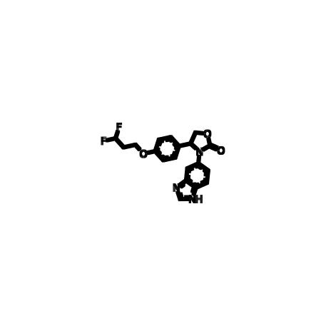 O=C1OCC(c2ccc(OCCC(F)F)cc2)N1c1ccc2[nH]cnc2c1